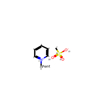 CCCCC[n+]1ccccc1.CS(=O)(=O)[O-]